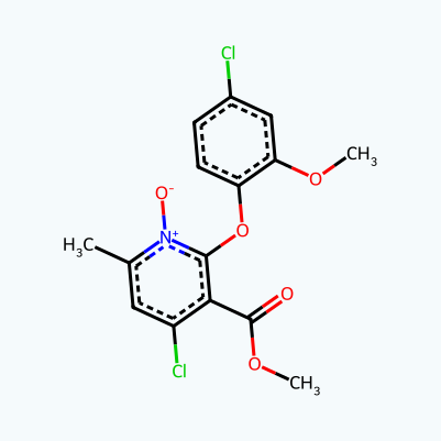 COC(=O)c1c(Cl)cc(C)[n+]([O-])c1Oc1ccc(Cl)cc1OC